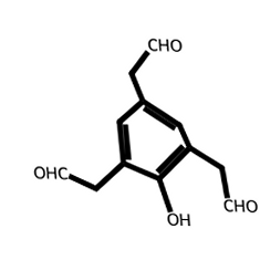 O=CCc1cc(CC=O)c(O)c(CC=O)c1